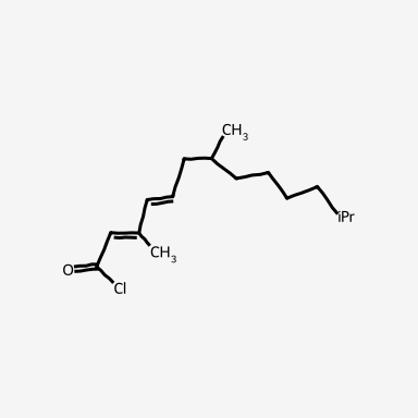 CC(/C=C/CC(C)CCCCC(C)C)=C\C(=O)Cl